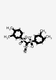 Cc1ccc(S(=O)(=O)C(=[N+]=[N-])S(=O)(=O)c2ccc(C)c(C)c2)cc1C